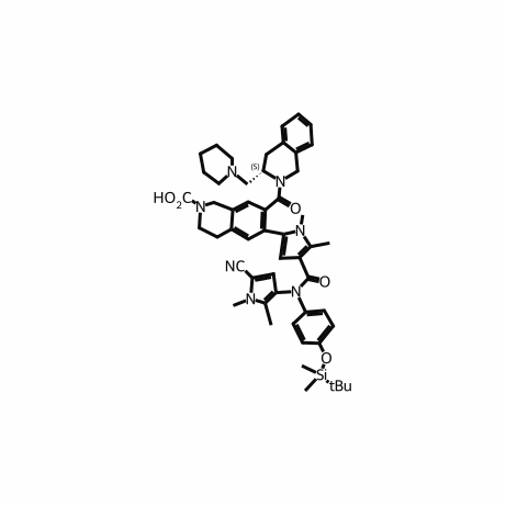 Cc1c(N(C(=O)c2cc(-c3cc4c(cc3C(=O)N3Cc5ccccc5C[C@H]3CN3CCCCC3)CN(C(=O)O)CC4)n(C)c2C)c2ccc(O[Si](C)(C)C(C)(C)C)cc2)cc(C#N)n1C